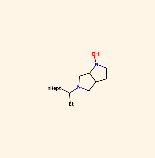 CCCCCCCC(CC)N1CC2CCN(O)C2C1